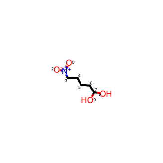 O=[N+]([O-])CCCCC(O)O